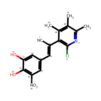 Cc1nc(Cl)c(/C(C#N)=C/c2cc(O)c(O)c([N+](=O)[O-])c2)c(C)c1C